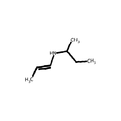 C/C=C/NC(C)CC